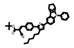 CCCCCCc1cc(-c2ccc3c(c2)C2C4CCC(C4)C2N3c2ccccc2)sc1-c1ccc(/C=C(\C#N)C(=O)OC(C)(C)C)cc1